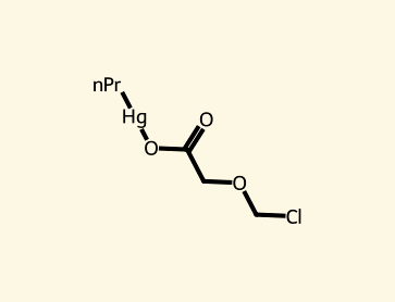 CC[CH2][Hg][O]C(=O)COCCl